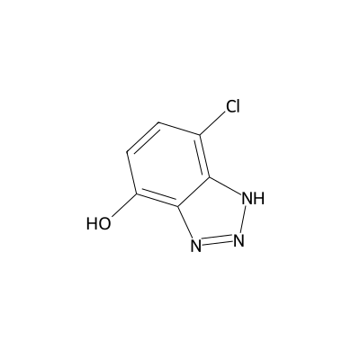 Oc1ccc(Cl)c2[nH]nnc12